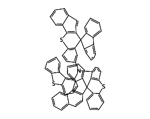 c1ccc2c(c1)Sc1cccc(N(c3ccc4c(c3)C3(c5ccccc5-c5ccccc53)c3ccc5ccccc5c3S4)c3cccc4sc5ccccc5c34)c1C21c2ccccc2-c2c1ccc1ccccc21